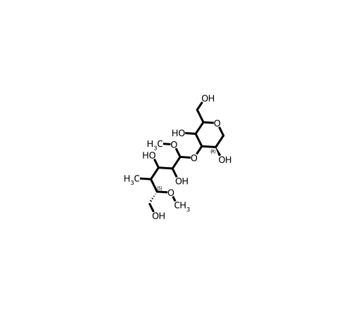 COC(OC1C(O)C(CO)OC[C@H]1O)C(O)C(O)C(C)[C@@H](CO)OC